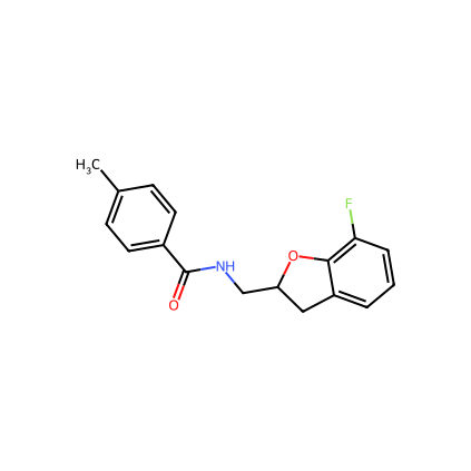 Cc1ccc(C(=O)NCC2Cc3cccc(F)c3O2)cc1